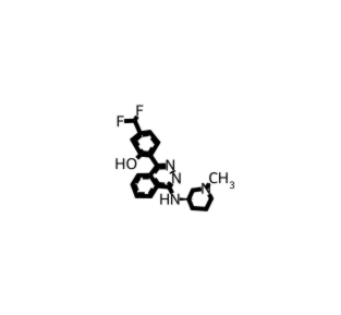 CN1CCC[C@@H](Nc2nnc(-c3ccc(C(F)F)cc3O)c3ccccc23)C1